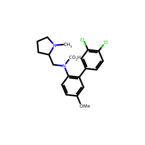 COc1ccc(N(CC2CCCN2C)C(=O)O)c(-c2ccc(Cl)c(Cl)c2)c1